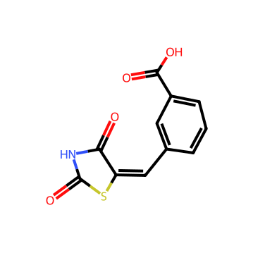 O=C1NC(=O)/C(=C\c2cccc(C(=O)O)c2)S1